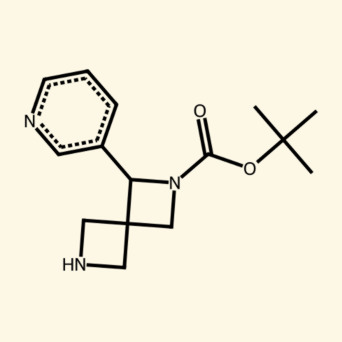 CC(C)(C)OC(=O)N1CC2(CNC2)C1c1cccnc1